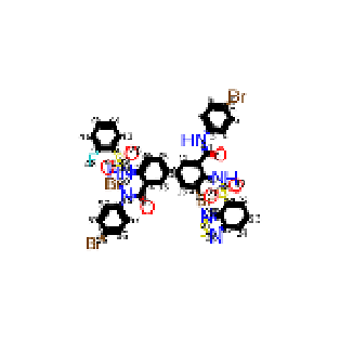 O=C(Nc1ccc(Br)cc1)c1cccc(Br)c1NS(=O)(=O)c1cccc2nsnc12.O=C(c1ccccc1NS(=O)(=O)c1ccccc1F)N(Br)c1ccc(Br)cc1